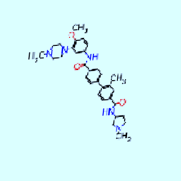 COc1ccc(NC(=O)c2ccc(-c3ccc(C(=O)NC4CCN(C)C4)cc3C)cc2)cc1N1CCN(C)CC1